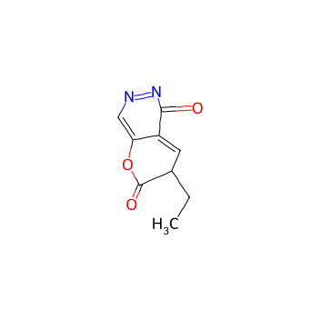 CCC1C=C2C(=O)N=NC=C2OC1=O